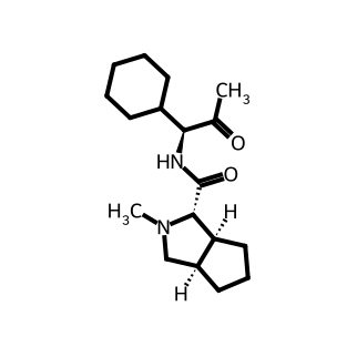 CC(=O)[C@@H](NC(=O)[C@@H]1[C@H]2CCC[C@H]2CN1C)C1CCCCC1